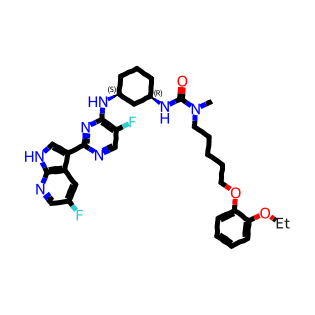 CCOc1ccccc1OCCCCCN(C)C(=O)N[C@@H]1CCC[C@H](Nc2nc(-c3c[nH]c4ncc(F)cc34)ncc2F)C1